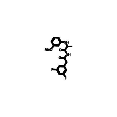 COc1cccc(N[C@@H](C)C(=O)NC(=O)Cc2cc(F)cc(F)c2)c1